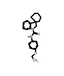 CCOc1ccc(NC(=O)NCC2(c3ccccc3)CCCCC2)cc1